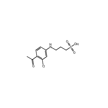 CC(=O)c1ccc(NCCCS(=O)(=O)O)cc1Cl